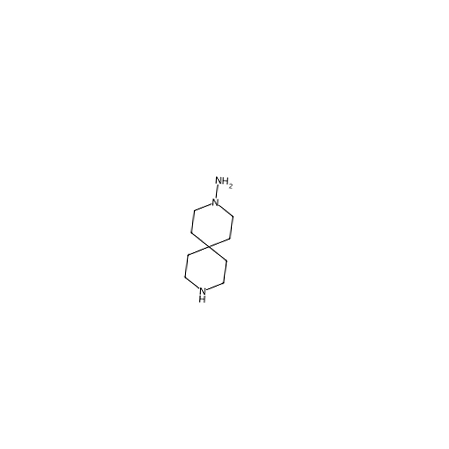 NN1CCC2(CCNCC2)CC1